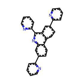 c1ccc(-c2ccc3c(c2)nc(-c2ccccn2)c2cc(-c4ccccn4)ccc23)nc1